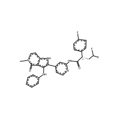 Cn1ccc2[nH]c(-c3ccnc(NC(=O)[C@@H](CC(F)F)c4ccc(F)cc4)c3)c(Nc3ccccc3)c2c1=O